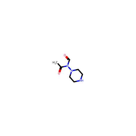 CC(=O)N([C]=O)N1CCNCC1